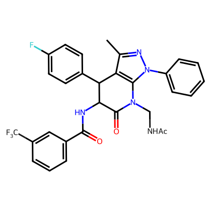 CC(=O)NCN1C(=O)C(NC(=O)c2cccc(C(F)(F)F)c2)C(c2ccc(F)cc2)c2c(C)nn(-c3ccccc3)c21